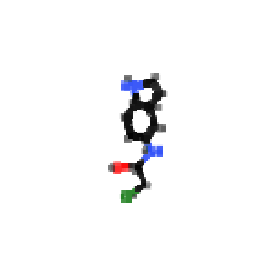 O=C(CCl)Nc1ccc2[nH]ccc2c1